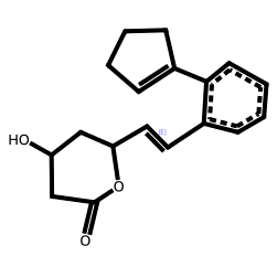 O=C1CC(O)CC(/C=C/c2ccccc2C2=CCCC2)O1